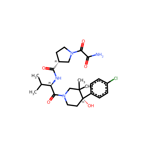 CC(C)[C@@H](NC(=O)[C@@H]1CCN(C(=O)C(N)=O)C1)C(=O)N1CC[C@](O)(c2ccc(Cl)cc2)C(C)(C)C1